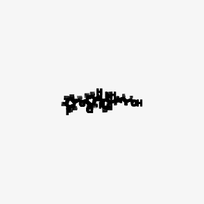 Nc1c(C#CC=CCO)ncnc1Nc1ccc(OCc2cccc(F)c2)c(Cl)c1